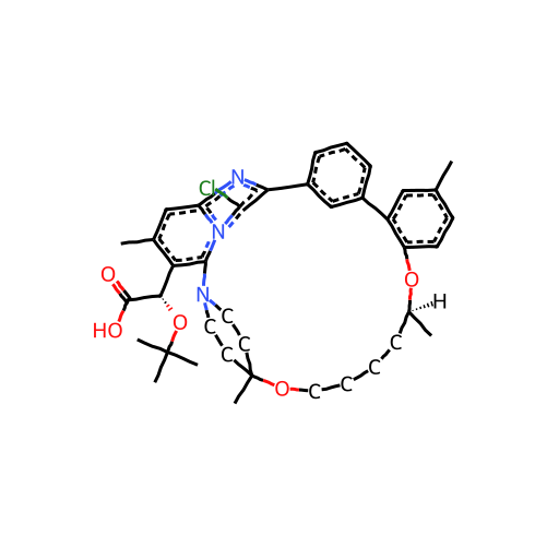 Cc1ccc2c(c1)-c1cccc(c1)-c1nc3cc(C)c([C@H](OC(C)(C)C)C(=O)O)c(n3c1Cl)N1CCC(C)(CC1)OCCCC[C@H](C)O2